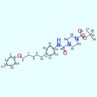 Cc1ccc(OCCCCCc2ccc(NC(=O)N3CCN(C(=O)OC(C)(C)C)CC3)cc2)cc1